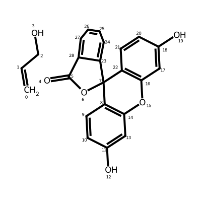 C=CCO.O=C1OC2(c3ccc(O)cc3Oc3cc(O)ccc32)c2ccccc21